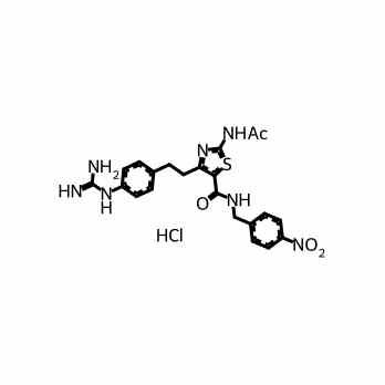 CC(=O)Nc1nc(CCc2ccc(NC(=N)N)cc2)c(C(=O)NCc2ccc([N+](=O)[O-])cc2)s1.Cl